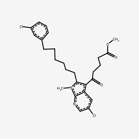 COC(=O)CCCC(=O)c1c(CCCCCCc2cccc(Cl)c2)n(C)c2ncc(Cl)cc12